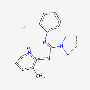 Cc1ccc[nH]c1=NC(=Nc1ccccc1)N1CCCC1.I